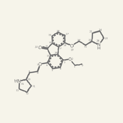 CCOc1ccc(OCCC2CCCN2)c2c1-c1c(OCCC3CCCN3)cccc1C2=O